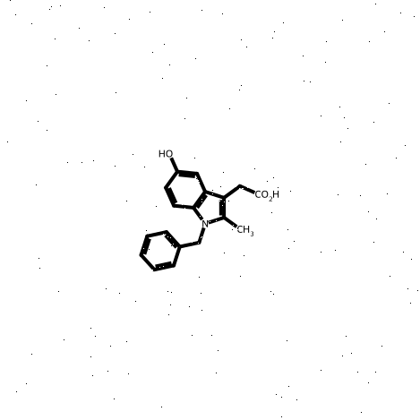 Cc1c(CC(=O)O)c2cc(O)ccc2n1Cc1ccccc1